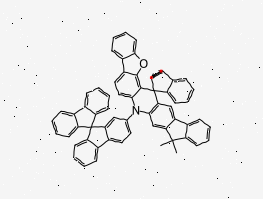 CC1(C)c2ccccc2-c2cc3c(cc21)N(c1ccc2c(c1)C1(c4ccccc4-c4ccccc41)c1ccccc1-2)c1ccc2c(oc4ccccc42)c1C31c2ccccc2-c2ccccc21